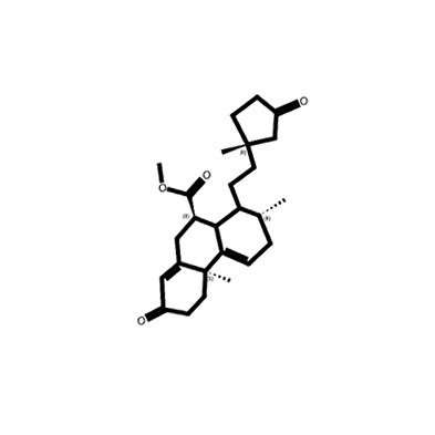 COC(=O)[C@@H]1CC2=CC(=O)CC[C@]2(C)C2=CC[C@@H](C)C(CC[C@]3(C)CCC(=O)C3)C21